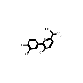 OC(c1ccc(Cl)c(-c2ccc(F)c(Cl)c2)n1)C(F)(F)F